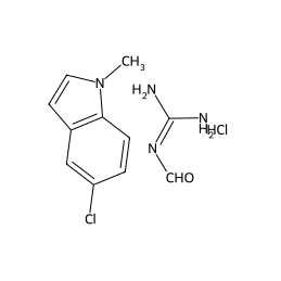 Cl.Cn1ccc2cc(Cl)ccc21.NC(N)=NC=O